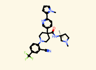 CN1CC[C@](C)(NC(=O)C2(c3ccc(-c4cccn4C)nc3)CCN(c3ccc(C(F)(F)F)cc3C#N)CC2)C1